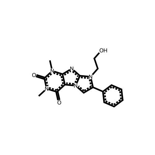 Cn1c(=O)c2c(nc3n(CCO)c(-c4ccccc4)cn23)n(C)c1=O